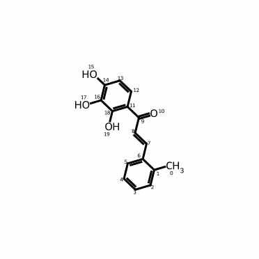 Cc1ccccc1C=CC(=O)c1ccc(O)c(O)c1O